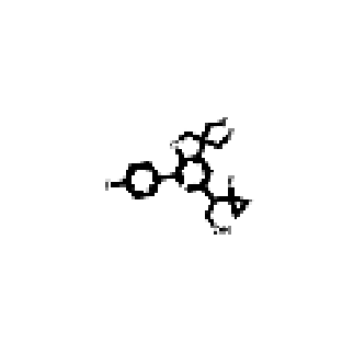 OCC(c1cc2c(c(-c3ccc(F)cc3)n1)OCC2(CF)CF)C1(F)CC1